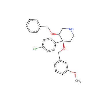 COc1cccc(CO[C@]2(c3ccc(Cl)cc3)CCNC[C@@H]2OCc2ccccc2)c1